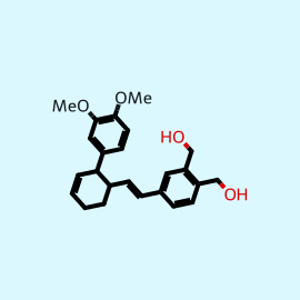 COc1ccc(C2C=CCCC2/C=C/c2ccc(CO)c(CO)c2)cc1OC